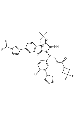 CC(C)(C)C[C@]1(c2ccc(-c3cnn(C(F)F)c3)cc2)NC(=N)N([C@H](COC(=O)N2CC(F)(F)C2)c2ccc(Cl)c(-n3cncn3)c2)C1=O